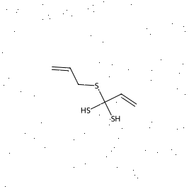 C=CCSC(S)(S)C=C